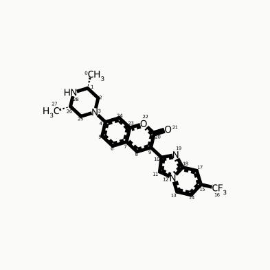 C[C@@H]1CN(c2ccc3cc(-c4cn5ccc(C(F)(F)F)cc5n4)c(=O)oc3c2)C[C@H](C)N1